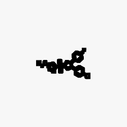 Cn1cnc(S(=O)(=O)N2CC(c3ccc(F)cc3)C(c3ccc(Cl)cc3)C2)c1